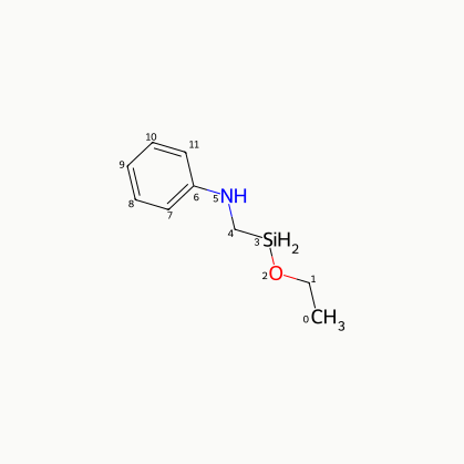 CCO[SiH2]CNc1ccccc1